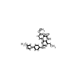 CCc1nc(Nc2ccc(-n3cnc(C)c3)cc2)nc2c1NC(=O)[C@H]1C[C@@H](OC)CCN21